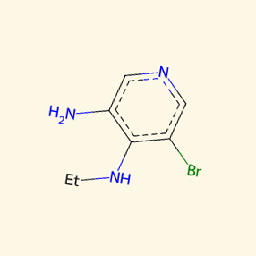 CCNc1c(N)cncc1Br